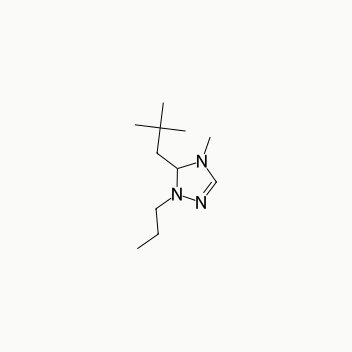 CCCN1N=CN(C)C1CC(C)(C)C